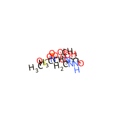 C=C1N=c2[nH]c(=O)ccc2=CN1[C@@H]1O[C@H](COP(=O)(OCCSC(C)=O)N(C)C)[C@@H](O)[C@@]1(C)O